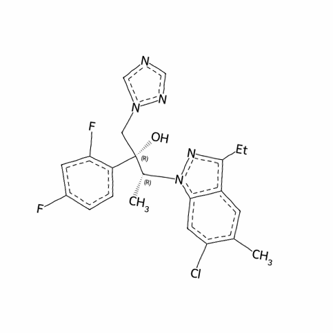 CCc1nn([C@H](C)[C@](O)(Cn2cncn2)c2ccc(F)cc2F)c2cc(Cl)c(C)cc12